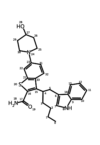 CCCCC(Cc1c[nH]c2ccccc12)c1c(C(N)=O)sc2cc(N3CCC(O)CC3)ccc12